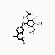 CO[C@H]1[C@H](O)[C@@H](CO)O[C@@H](Oc2ccc3c(C)cc(=O)oc3c2)[C@@H]1NC(C)=O